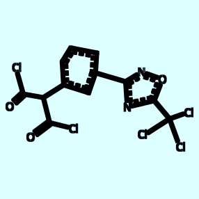 O=C(Cl)C(C(=O)Cl)c1cccc(-c2noc(C(Cl)(Cl)Cl)n2)c1